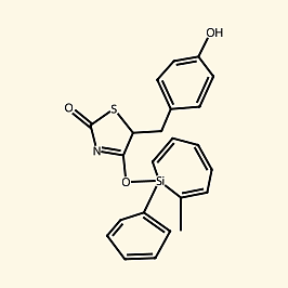 CC1=CC=CC=C[Si]1(OC1=NC(=O)SC1Cc1ccc(O)cc1)c1ccccc1